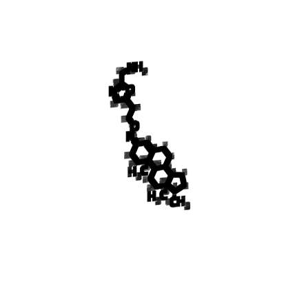 C[C@H]1CCC2C3CCC4=CC(=NOCCc5cnc(CN)o5)CC[C@]4(C)C3CC[C@@]21C